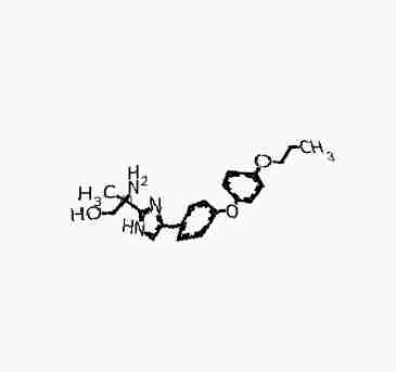 CCCOc1ccc(Oc2ccc(-c3c[nH]c([C@@](C)(N)CO)n3)cc2)cc1